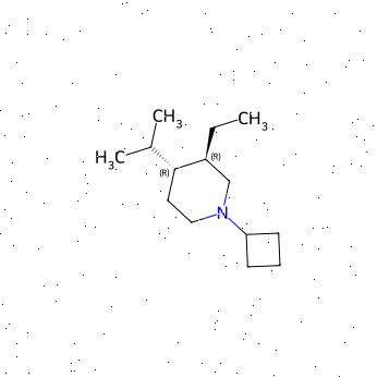 CC[C@H]1CN(C2CCC2)CC[C@@H]1C(C)C